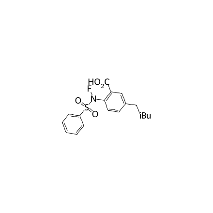 CCC(C)Cc1ccc(N(F)S(=O)(=O)c2ccccc2)c(C(=O)O)c1